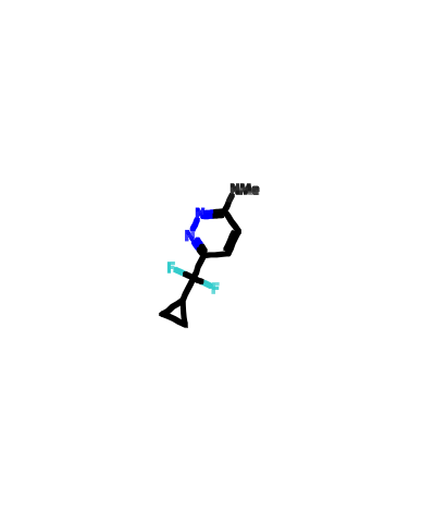 CNc1ccc(C(F)(F)C2CC2)nn1